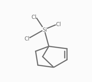 Cl[Si](Cl)(Cl)C12C=CC(CC1)C2